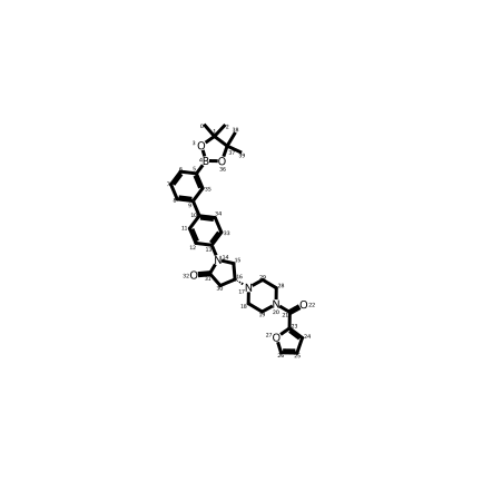 CC1(C)OB(c2cccc(-c3ccc(N4C[C@H](N5CCN(C(=O)c6ccco6)CC5)CC4=O)cc3)c2)OC1(C)C